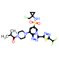 CC(C)C(=O)N1CCN(c2cc(S(=O)(=O)NC3(CF)CC3)cn3c(-c4nnc(C(F)F)s4)nnc23)CC1